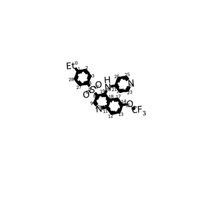 CCc1ccc(S(=O)(=O)c2cnc3ccc(OC(F)(F)F)cc3c2Nc2ccncc2)cc1